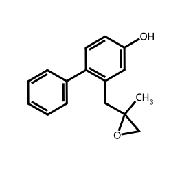 CC1(Cc2cc(O)ccc2-c2ccccc2)CO1